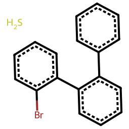 Brc1ccccc1-c1ccccc1-c1ccccc1.S